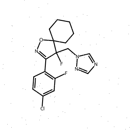 Fc1cc(Cl)ccc1C1=NOC2(CCCCC2)C1(F)Cn1cncn1